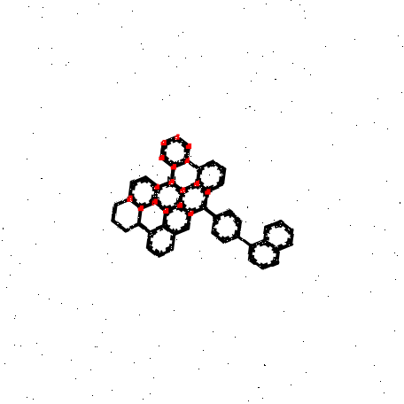 c1ccc(-c2ccccc2-c2ccccc2-c2ccccc2N(c2ccc(-c3ccc(-c4cccc5ccccc45)cc3)cc2)c2ccccc2-c2cccc3cccc(C4CCCCC4)c23)cc1